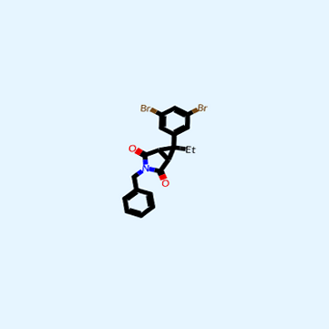 CCC1(c2cc(Br)cc(Br)c2)C2C(=O)N(Cc3ccccc3)C(=O)C21